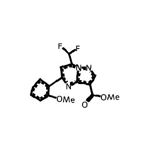 COC(=O)c1cnn2c(C(F)F)cc(-c3ccccc3OC)nc12